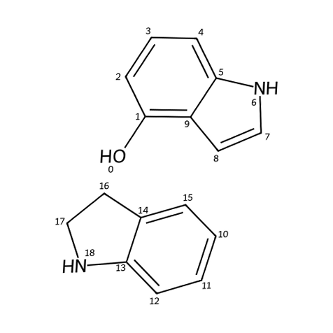 Oc1cccc2[nH]ccc12.c1ccc2c(c1)CCN2